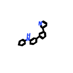 c1ccc(Nc2cccc(-c3cccc(-c4cccnc4)c3)c2)cc1